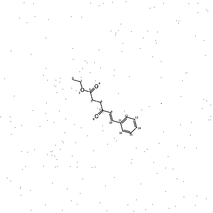 CCOC(=O)CCC(=O)C=Cc1ccccc1